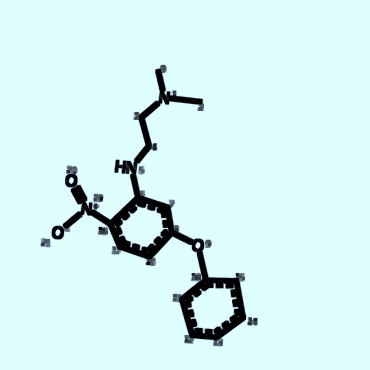 CN(C)CCNc1cc(Oc2ccccc2)ccc1[N+](=O)[O-]